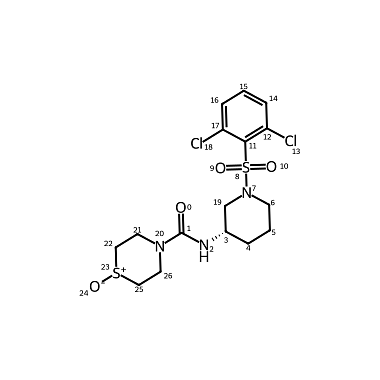 O=C(N[C@H]1CCCN(S(=O)(=O)c2c(Cl)cccc2Cl)C1)N1CC[S+]([O-])CC1